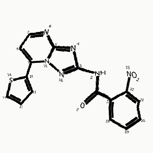 O=C(Nc1nc2nccc(-c3cccs3)n2n1)c1ccccc1[N+](=O)[O-]